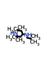 CC(C)CNC1CC(C)(C)NC(C)(C)C1